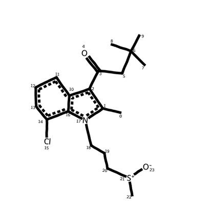 Cc1c(C(=O)CC(C)(C)C)c2cccc(Cl)c2n1CCC[S+](C)[O-]